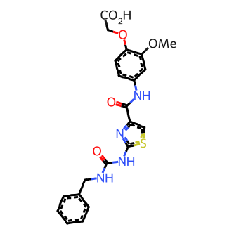 COc1cc(NC(=O)c2csc(NC(=O)NCc3ccccc3)n2)ccc1OCC(=O)O